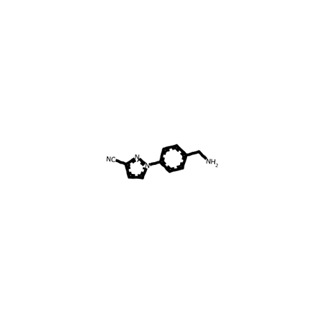 N#Cc1ccn(-c2ccc(CN)cc2)n1